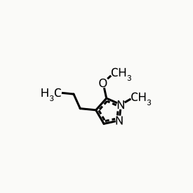 CCCc1cnn(C)c1OC